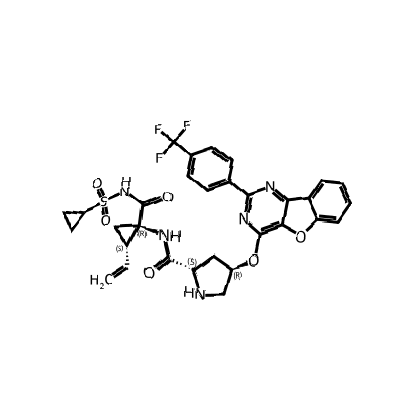 C=C[C@@H]1C[C@]1(NC(=O)[C@@H]1C[C@@H](Oc2nc(-c3ccc(C(F)(F)F)cc3)nc3c2oc2ccccc23)CN1)C(=O)NS(=O)(=O)C1CC1